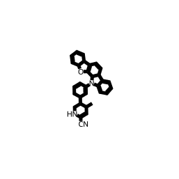 CC1C=C(C#N)NCC1C1C=C(N2c3ccccc3C3C=CC4=C(OC5C=CC=CC45)C32)C=CC1